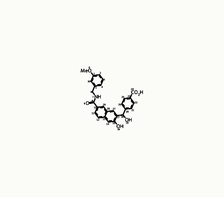 COc1cccc(CNC(=O)c2ccc3cc(O)c(C(O)c4ccc(C(=O)O)cc4)cc3c2)c1